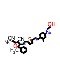 CC1=C(/C=C/c2ccc(/C=C/C3=C(C#N)C(=C(C#N)C#N)OC3(c3ccccc3)C(F)(F)F)s2)CCC(N(C)CCO)=C1